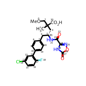 COCC(C)(C[C@@H](Cc1ccc(-c2cc(Cl)ccc2F)cc1)NC(=O)c1noc(=O)[nH]1)C(=O)O